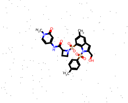 Cc1ccc(S(=O)(=O)n2c(CO)cc3cc(C)cc(S(=O)(=O)N4CCC4C(=O)Nc4ccn(C)c(=O)c4)c32)cc1